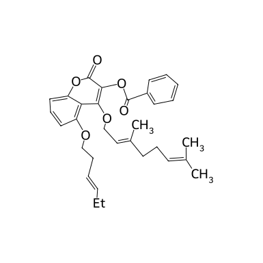 CCC=CCCOc1cccc2oc(=O)c(OC(=O)c3ccccc3)c(OCC=C(C)CCC=C(C)C)c12